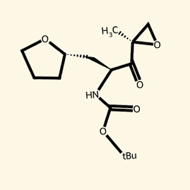 CC(C)(C)OC(=O)N[C@@H](C[C@@H]1CCCO1)C(=O)[C@@]1(C)CO1